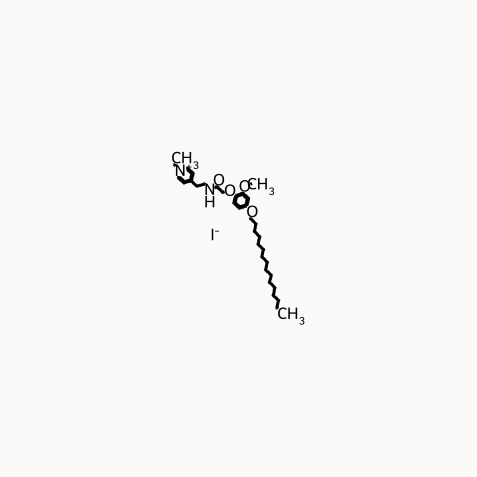 CCCCCCCCCCCCCCCCOc1ccc(OCC(=O)NCCc2cc[n+](CC)cc2)c(OC)c1.[I-]